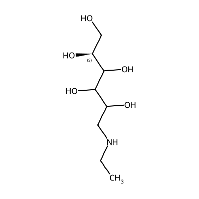 CCNCC(O)C(O)C(O)[C@@H](O)CO